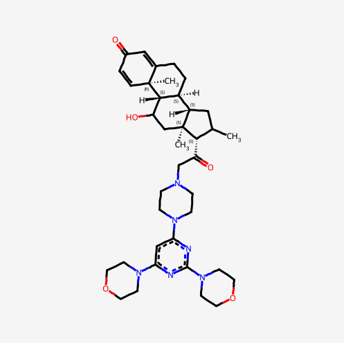 CC1C[C@H]2[C@@H]3CCC4=CC(=O)C=C[C@]4(C)[C@H]3C(O)C[C@]2(C)[C@H]1C(=O)CN1CCN(c2cc(N3CCOCC3)nc(N3CCOCC3)n2)CC1